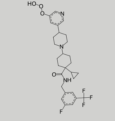 O=C(NCc1cc(F)cc(C(F)(F)F)c1)C1(C2CC2)CCC(N2CCC(c3cncc(OOO)c3)CC2)CC1